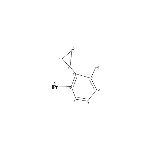 [CH2]c1cccc(C(C)C)c1C1CC1